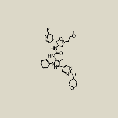 COCCN1C[C@@H](NC(=O)Nc2c(C)c(-c3cnc(OC4CCOCC4)nc3)nn2-c2ccccc2)[C@H](c2ccnc(F)c2)O1